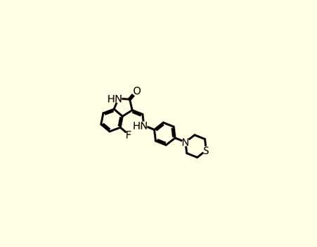 O=C1Nc2cccc(F)c2/C1=C\Nc1ccc(N2CCSCC2)cc1